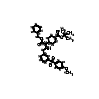 COc1ccc(S(=O)(=O)c2cc(CN[C@@H](C(=O)OCc3ccccc3)C3CCN(C(=O)OC(C)(C)C)CC3)ccn2)cc1